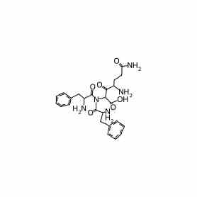 NC(=O)CCC(N)C(=O)C(C(=O)O)N(C(=O)C(N)Cc1ccccc1)C(=O)C(N)Cc1ccccc1